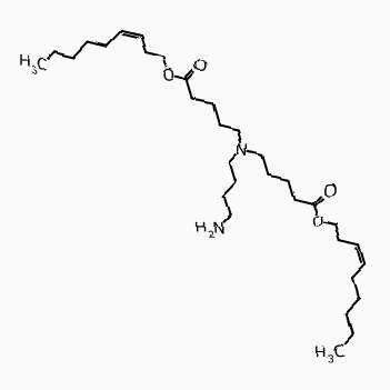 CCCCC/C=C\CCOC(=O)CCCCN(CCCCN)CCCCC(=O)OCC/C=C\CCCCC